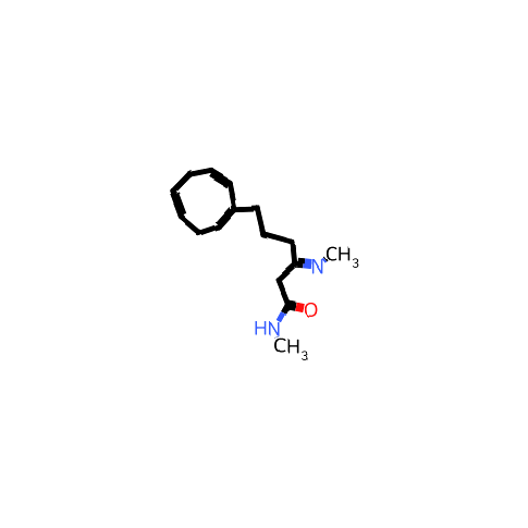 C/N=C(\CCCC1=C/C/C=C\C/C=C\1)CC(=O)NC